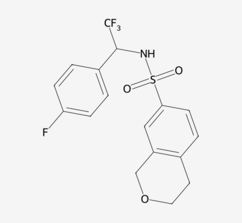 O=S(=O)(NC(c1ccc(F)cc1)C(F)(F)F)c1ccc2c(c1)COCC2